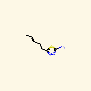 CC=CCCc1nnc(N)s1